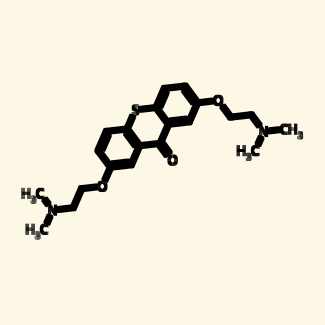 CN(C)CCOc1ccc2sc3ccc(OCCN(C)C)cc3c(=O)c2c1